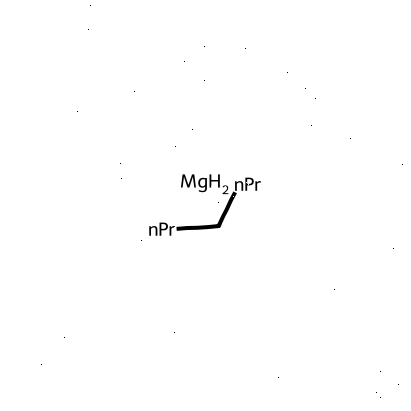 CCCCCCC.[MgH2]